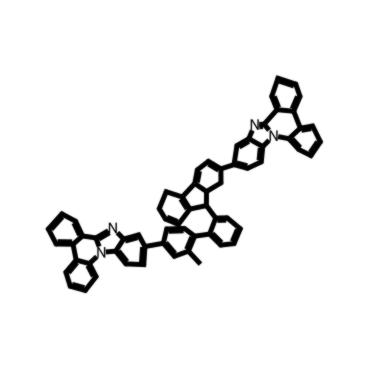 Cc1cc(-c2ccc3c(c2)nc2c4ccccc4c4ccccc4n32)ccc1-c1ccccc1C1C2=C(CCC=C2)C2=CC=C(c3ccc4c(c3)nc3c5ccccc5c5ccccc5n43)CC21